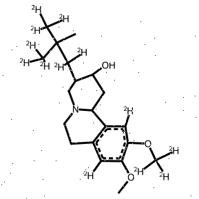 [2H]c1c2c(c([2H])c(OC([2H])([2H])[2H])c1OC)C1CC(O)C(C([2H])([2H])C(C)(C([2H])([2H])[2H])C([2H])([2H])[2H])CN1CC2